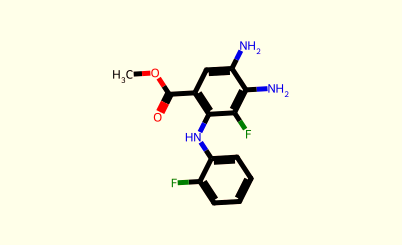 COC(=O)c1cc(N)c(N)c(F)c1Nc1ccccc1F